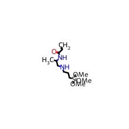 C=CC(=O)NC(C)CNCCC[Si](OC)(OC)OC